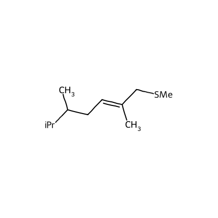 CSC/C(C)=C/CC(C)C(C)C